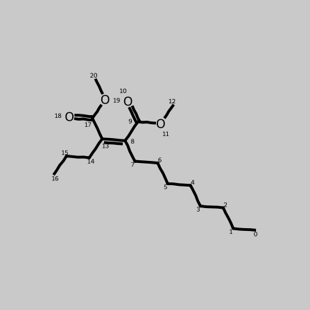 CCCCCCCC/C(C(=O)OC)=C(\CCC)C(=O)OC